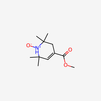 COC(=O)C1=CC(C)(C)[NH+]([O-])C(C)(C)C1